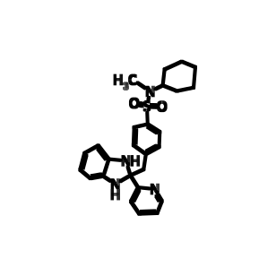 CN(C1CCCCC1)S(=O)(=O)c1ccc(CC2(c3ccccn3)Nc3ccccc3N2)cc1